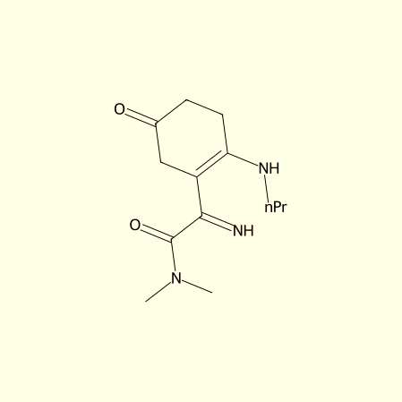 CCCNC1=C(C(=N)C(=O)N(C)C)CC(=O)CC1